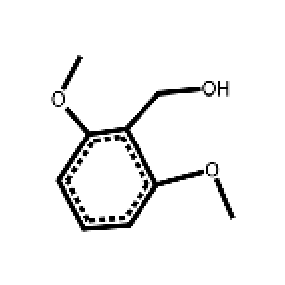 COc1cccc(OC)c1CO